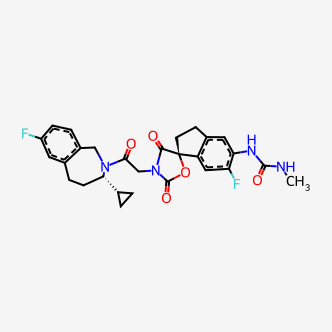 CNC(=O)Nc1cc2c(cc1F)[C@]1(CC2)OC(=O)N(CC(=O)N2Cc3ccc(F)cc3CC[C@H]2C2CC2)C1=O